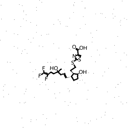 CC(O)(C/C=C/[C@H]1CC[C@H](O)[C@@H]1CCSc1nc(C(=O)O)cs1)CCC(F)=C(F)F